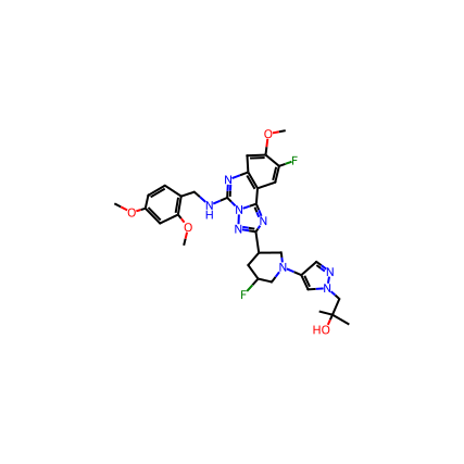 COc1ccc(CNc2nc3cc(OC)c(F)cc3c3nc(C4CC(F)CN(c5cnn(CC(C)(C)O)c5)C4)nn23)c(OC)c1